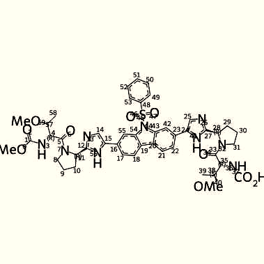 COC(=O)N[C@@H](C(=O)N1CCC[C@@H]1c1ncc(-c2ccc3c4ccc(-c5cnc([C@H]6CCCN6C(=O)[C@H](NC(=O)O)[C@H](C)OC)[nH]5)cc4n(S(=O)(=O)c4ccccc4)c3c2)[nH]1)C(C)OC